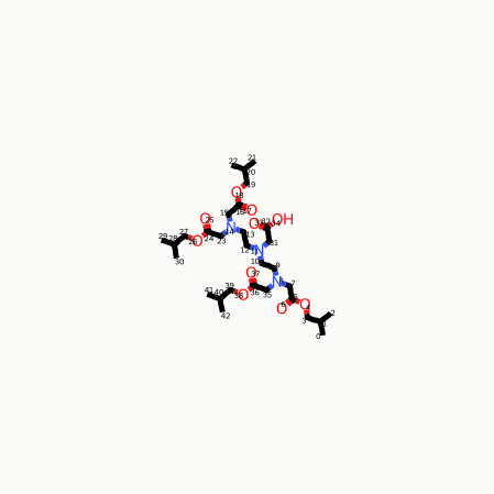 CC(C)COC(=O)CN(CCN(CCN(CC(=O)OCC(C)C)CC(=O)OCC(C)C)CC(=O)O)CC(=O)OCC(C)C